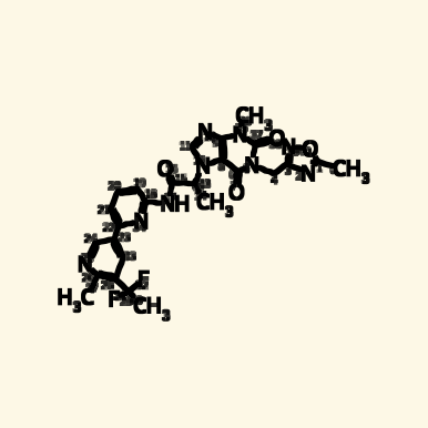 Cc1nc(Cn2c(=O)c3c(ncn3[C@@H](C)C(=O)Nc3cccc(-c4cnc(C)c(C(C)(F)F)c4)n3)n(C)c2=O)no1